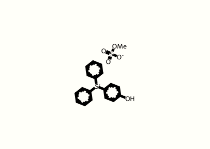 COS(=O)(=O)[O-].Oc1ccc([S+](c2ccccc2)c2ccccc2)cc1